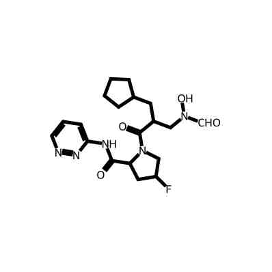 O=CN(O)CC(CC1CCCC1)C(=O)N1CC(F)CC1C(=O)Nc1cccnn1